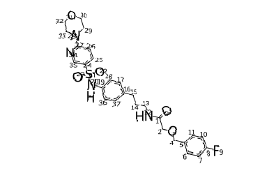 O=C(COCc1ccc(F)cc1)NCCCc1ccc(NS(=O)(=O)c2ccc(N3CCOCC3)nc2)cc1